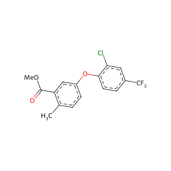 COC(=O)c1cc(Oc2ccc(C(F)(F)F)cc2Cl)ccc1C